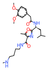 CNCCCCNC(=O)c1nc([C@H](CC(C)C)NC(=O)Cc2ccc(OC)c(OC)c2)oc1C